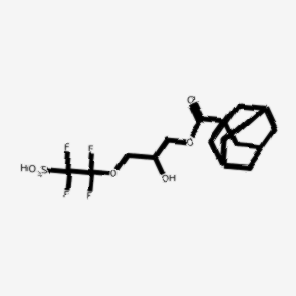 O=C(OCC(O)COC(F)(F)C(F)(F)S(=O)(=O)O)C12CC3CC(CC(C3)C1)C2